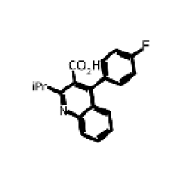 CC(C)c1nc2ccccc2c(-c2ccc(F)cc2)c1C(=O)O